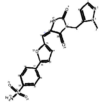 Cn1nccc1CN1C(=O)N/C(=C/c2ccc(-c3ccc(S(N)(=O)=O)cc3)o2)C1=O